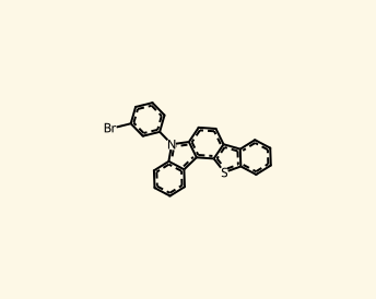 Brc1cccc(-n2c3ccccc3c3c4sc5ccccc5c4ccc32)c1